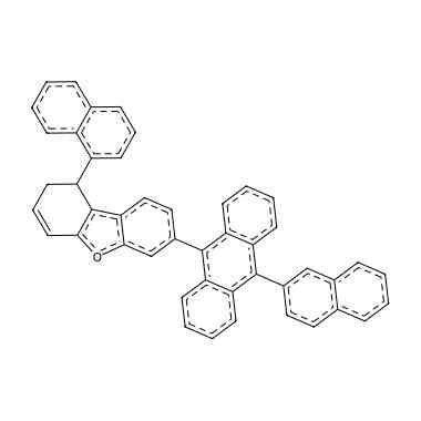 C1=Cc2oc3cc(-c4c5ccccc5c(-c5ccc6ccccc6c5)c5ccccc45)ccc3c2C(c2cccc3ccccc23)C1